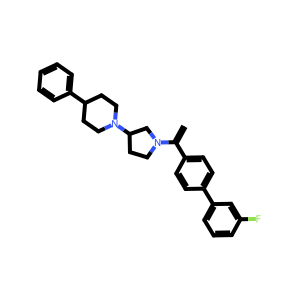 C=C(c1ccc(-c2cccc(F)c2)cc1)N1CCC(N2CCC(c3ccccc3)CC2)C1